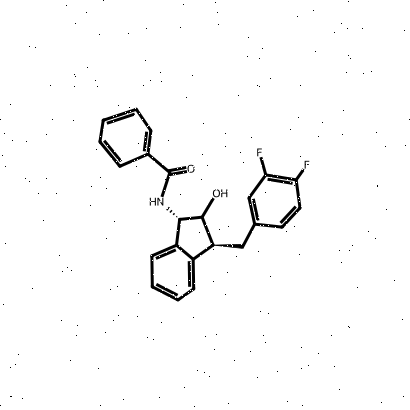 O=C(N[C@H]1c2ccccc2[C@H](Cc2ccc(F)c(F)c2)C1O)c1ccccc1